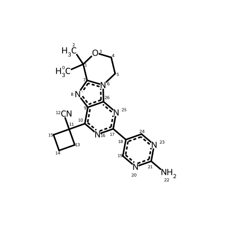 CC1(C)OCCn2c1nc1c(C3(C#N)CCC3)nc(-c3cnc(N)nc3)nc12